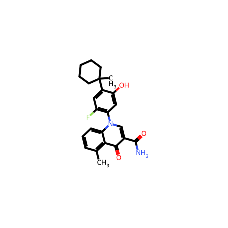 Cc1cccc2c1c(=O)c(C(N)=O)cn2-c1cc(O)c(C2(C)CCCCC2)cc1F